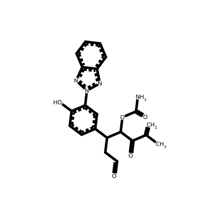 C=C(C)C(=O)C(OC(N)=O)C(CC=O)c1ccc(O)c(-n2nc3ccccc3n2)c1